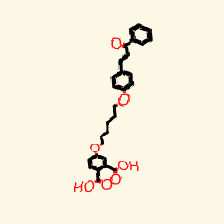 O=C(C=Cc1ccc(OCCCCCCOc2ccc(C(=O)O)c(C(=O)O)c2)cc1)c1ccccc1